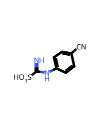 N#Cc1ccc(NC(=N)S(=O)(=O)O)cc1